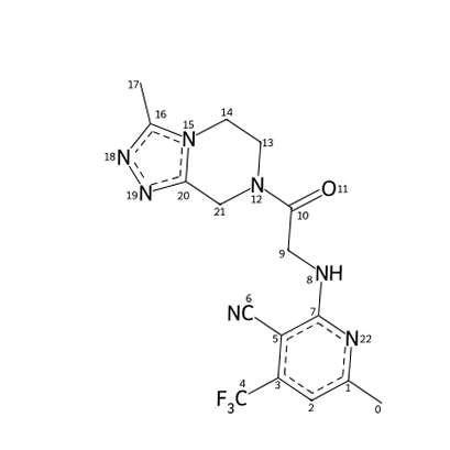 Cc1cc(C(F)(F)F)c(C#N)c(NCC(=O)N2CCn3c(C)nnc3C2)n1